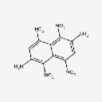 Nc1cc([N+](=O)[O-])c2c([N+](=O)[O-])c(N)cc([N+](=O)[O-])c2c1[N+](=O)[O-]